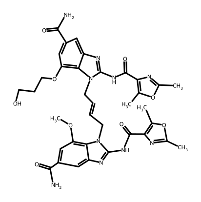 COc1cc(C(N)=O)cc2nc(NC(=O)c3nc(C)oc3C)n(CC=CCn3c(NC(=O)c4nc(C)oc4C)nc4cc(C(N)=O)cc(OCCCO)c43)c12